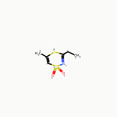 CCC1=NS(=O)(=O)C=C(C)S1